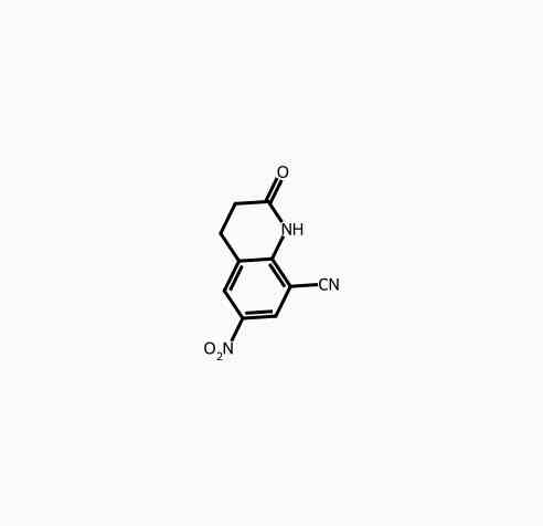 N#Cc1cc([N+](=O)[O-])cc2c1NC(=O)CC2